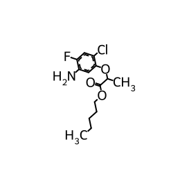 CCCCCOC(=O)C(C)Oc1cc(N)c(F)cc1Cl